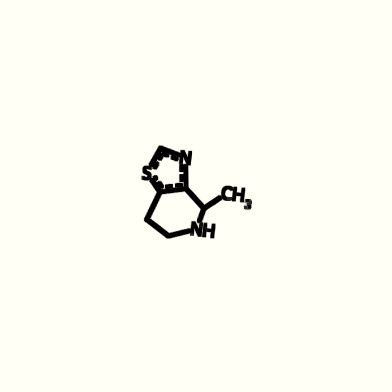 CC1NCCc2scnc21